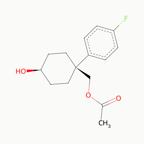 CC(=O)OC[C@]1(c2ccc(F)cc2)CC[C@H](O)CC1